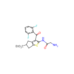 CCOC(=O)C1Cc2sc(NC(=O)CN)c(C(=O)c3c(F)cccc3F)c2C1